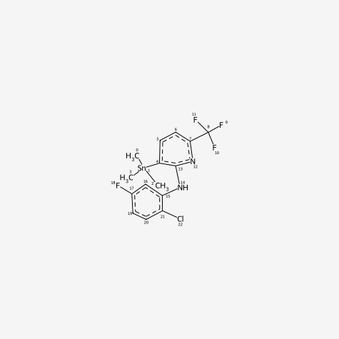 [CH3][Sn]([CH3])([CH3])[c]1ccc(C(F)(F)F)nc1Nc1cc(F)ccc1Cl